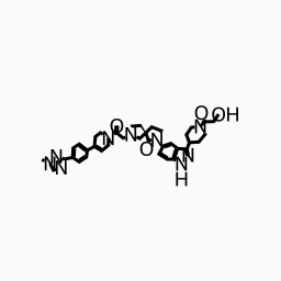 Cn1cnc(-c2ccc(C3=CCN(C(=O)CN4CC[C@]5(CCN(c6ccc7[nH]nc(C8CCN(C(=O)CO)CC8)c7c6)C5=O)C4)CC3)cc2)n1